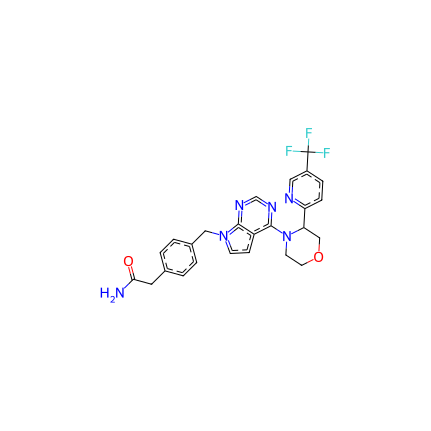 NC(=O)Cc1ccc(Cn2ccc3c(N4CCOCC4c4ccc(C(F)(F)F)cn4)ncnc32)cc1